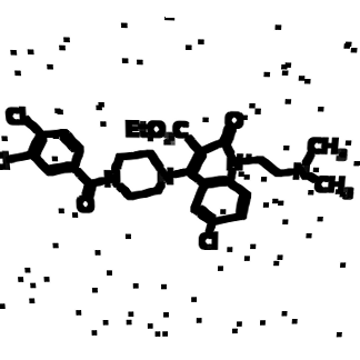 CCOC(=O)c1c(N2CCN(C(=O)c3ccc(Cl)c(Cl)c3)CC2)c2cc(Cl)ccc2n(CCN(C)C)c1=O